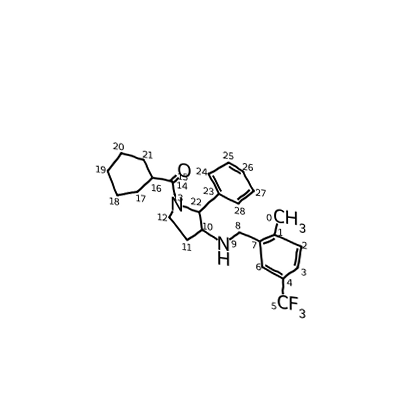 Cc1ccc(C(F)(F)F)cc1CNC1CCN(C(=O)C2CCCCC2)C1c1ccccc1